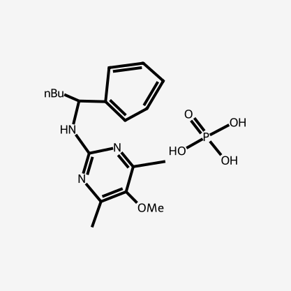 CCCCC(Nc1nc(C)c(OC)c(C)n1)c1ccccc1.O=P(O)(O)O